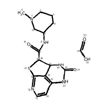 CN1CCCC(NC(=O)[C@@H]2Sc3nccc4c3C2NC(=O)N4)C1.O=CO